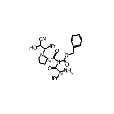 CC(C)C(C(O)C#N)N1CCC[C@H]1C(=O)N(C(=O)OCc1ccccc1)C(=O)[C@@H](N)C(C)C